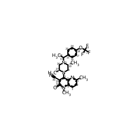 Cc1ccc2c(n1)c(N1C[C@@H](C)N(C(C)c3ccc(OC(F)(F)F)cc3)C[C@@H]1C)c(C#N)c(=O)n2C